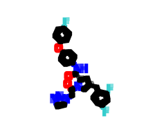 O=C(Nc1ccc(Oc2ccc(F)cc2)cc1)[C@@H]1C[C@@H](Cc2ccc(F)cc2F)CN1C(=O)Cn1ccnn1